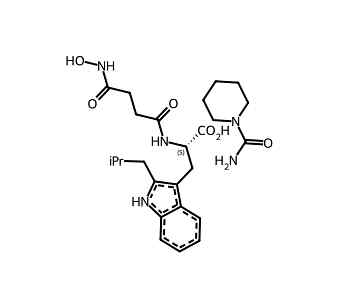 CC(C)Cc1[nH]c2ccccc2c1C[C@H](NC(=O)CCC(=O)NO)C(=O)O.NC(=O)N1CCCCC1